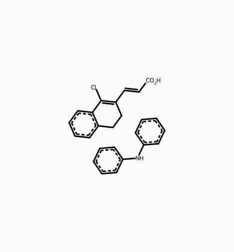 O=C(O)C=CC1=C(Cl)c2ccccc2CC1.c1ccc(Nc2ccccc2)cc1